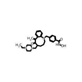 C=C1C(=O)C(CN2CCN(CC)CC2)CCCN(Cc2ccc(C(=O)NO)cc2)c2ccccc21